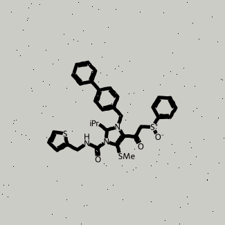 CSC1=C(C(=O)C[S+]([O-])c2ccccc2)N(Cc2ccc(-c3ccccc3)cc2)C(C(C)C)N1C(=O)NCc1cccs1